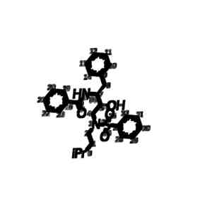 CC(C)CCN(C[C@@H](O)[C@H](Cc1ccccc1)NC(=O)c1ccccc1)S(=O)(=O)c1ccccc1